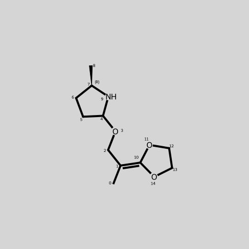 CC(COC1CC[C@@H](C)N1)=C1OCCO1